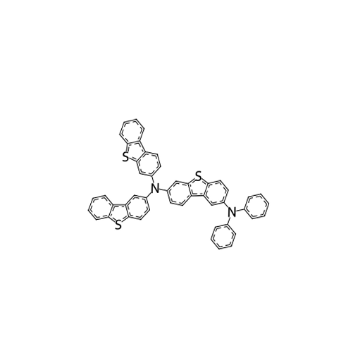 c1ccc(N(c2ccccc2)c2ccc3sc4cc(N(c5ccc6c(c5)sc5ccccc56)c5ccc6sc7ccccc7c6c5)ccc4c3c2)cc1